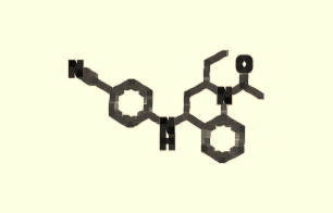 CCC1CC(Nc2ccc(C#N)cc2)c2ccccc2N1C(C)=O